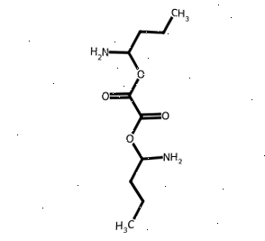 CCCC(N)OC(=O)C(=O)OC(N)CCC